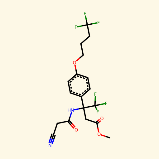 COC(=O)CC(NC(=O)CC#N)(c1ccc(OCCCC(F)(F)F)cc1)C(F)(F)F